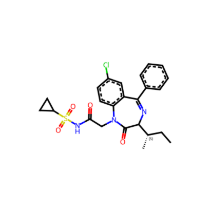 CC[C@H](C)C1N=C(c2ccccc2)c2cc(Cl)ccc2N(CC(=O)NS(=O)(=O)C2CC2)C1=O